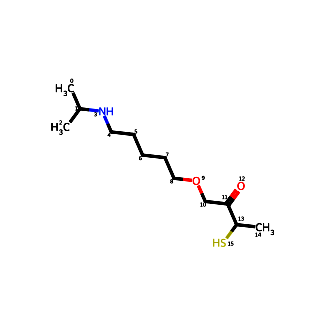 CC(C)NCCCCCOCC(=O)C(C)S